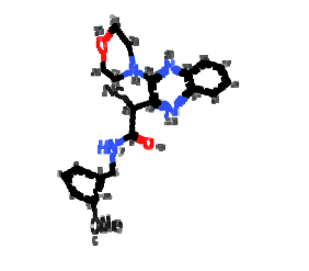 COc1cccc(CNC(=O)C(C#N)c2nc3ccccc3nc2N2CCOCC2)c1